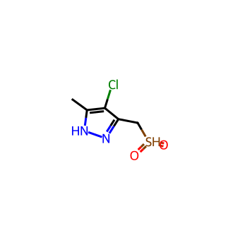 Cc1[nH]nc(C[SH](=O)=O)c1Cl